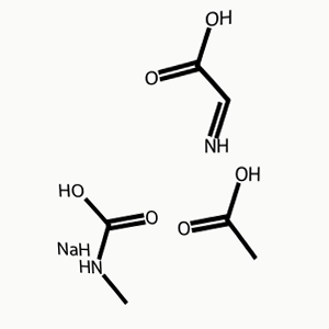 CC(=O)O.CNC(=O)O.N=CC(=O)O.[NaH]